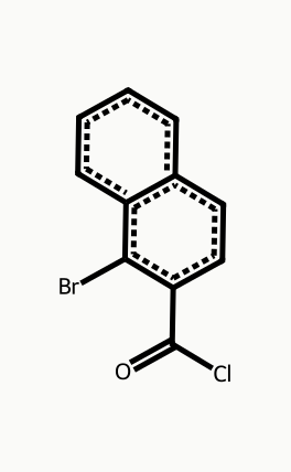 O=C(Cl)c1ccc2ccccc2c1Br